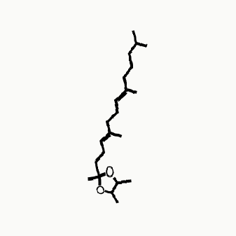 C/C(=C\CCC1(C)OC(C)C(C)O1)CC/C=C(\C)CCCC(C)C